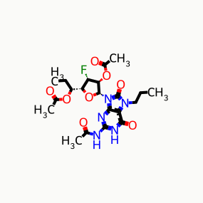 CCCn1c(=O)n([C@@H]2O[C@H](C(CC)OC(C)=O)[C@H](F)[C@H]2OC(C)=O)c2nc(NC(C)=O)[nH]c(=O)c21